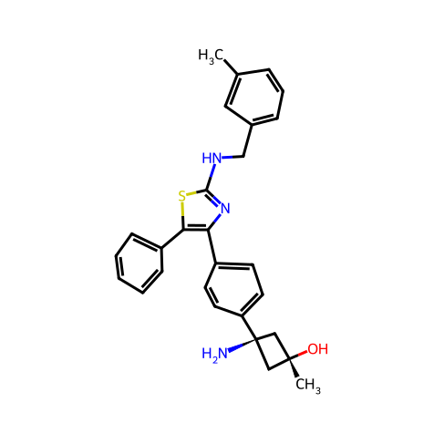 Cc1cccc(CNc2nc(-c3ccc([C@]4(N)C[C@](C)(O)C4)cc3)c(-c3ccccc3)s2)c1